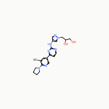 N#Cc1cc(-c2ccnc(Nc3cnn(CC(O)CO)c3)n2)cnc1N1CCCC1